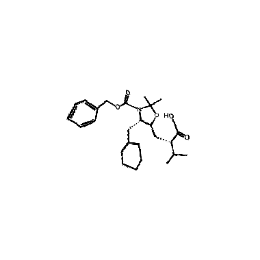 CC(C)[C@H](C[C@@H]1OC(C)(C)N(C(=O)OCc2ccccc2)[C@H]1CC1CCCCC1)C(=O)O